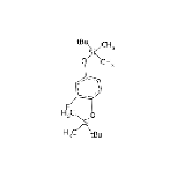 CC(C)(C)[Si](C)(C)Oc1ccc(O[Si](C)(C)C(C)(C)C)c(F)c1